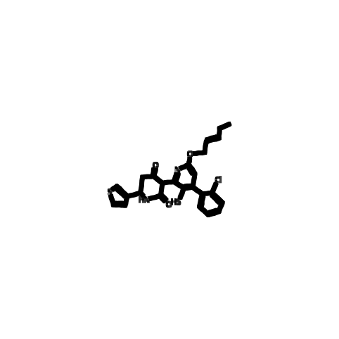 CCC=CCOc1cc(-c2ccccc2Cl)c(S)c(C2C(=O)CC(c3ccsc3)NC2=O)n1